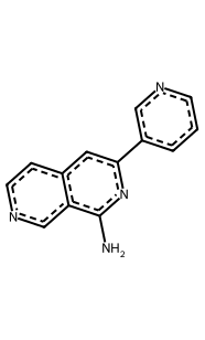 Nc1nc(-c2cccnc2)cc2ccncc12